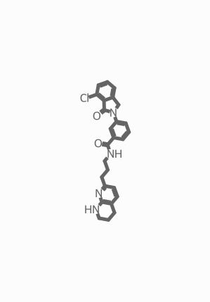 O=C(NCCCc1ccc2c(n1)NCCC2)c1cccc(N2Cc3cccc(Cl)c3C2=O)c1